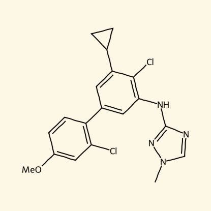 COc1ccc(-c2cc(Nc3ncn(C)n3)c(Cl)c(C3CC3)c2)c(Cl)c1